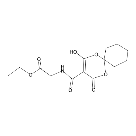 CCOC(=O)CNC(=O)C1=C(O)OC2(CCCCC2)OC1=O